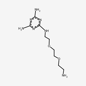 NCCOCCOCCNc1nc(N)nc(N)n1